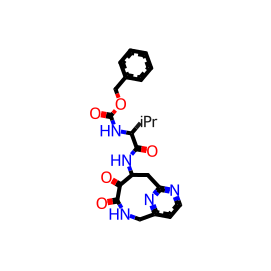 CC(C)C(NC(=O)OCc1ccccc1)C(=O)NC1Cc2nccc(n2)CNC(=O)C1=O